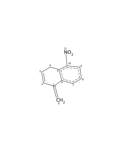 C=C1C=CCc2c1cccc2[N+](=O)[O-]